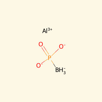 [Al+3].[BH3-]P(=O)([O-])[O-]